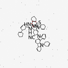 N#CC1CC(C2NC(C3CCCCC3)NC(C3CC=CC(C4=CCCCC4)C3)N2)C(N2C3=C(CCC=C3)SC3=C2C=CCC3)=CC1n1c2c(c3ccccc31)C1C(C=C2)C2C=CCCC2N1C1CC=CCC1